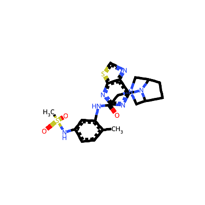 Cc1ccc(NS(C)(=O)=O)cc1NC(=O)CN1CC2CCC(C1)N2c1ncnc2scnc12